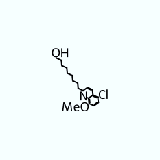 COc1ccc(Cl)c2ccc(CCCCCCCCCO)nc12